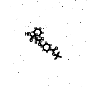 CC(C)(C)OC(=O)N1CCC(OC(=O)NC2(C(=O)O)CCCCC2)CC1